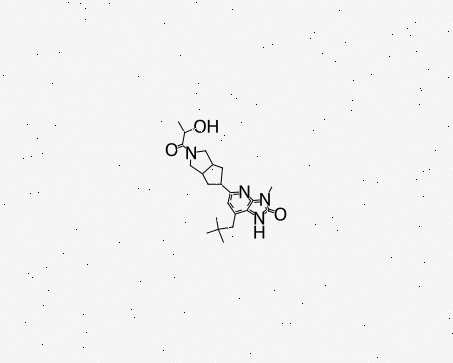 CC(O)C(=O)N1CC2CC(c3cc(CC(C)(C)C)c4[nH]c(=O)n(C)c4n3)CC2C1